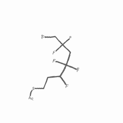 CC(=O)SCCC(F)C(F)(F)CC(F)(F)CF